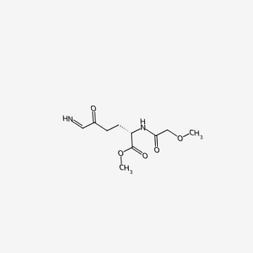 COCC(=O)N[C@@H](CCC(=O)C=N)C(=O)OC